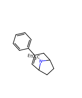 CCOC(=O)N1C2C=C(c3ccccc3)CC1CC2